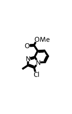 COC(=O)c1cccn2c(Cl)c(C)nc12